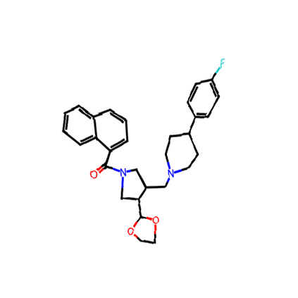 O=C(c1cccc2ccccc12)N1CC(CN2CCC(c3ccc(F)cc3)CC2)C(C2OCCO2)C1